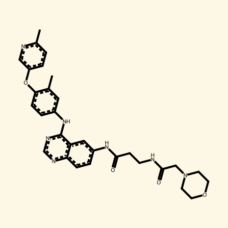 Cc1ccc(Oc2ccc(Nc3ncnc4ccc(NC(=O)CCNC(=O)CN5CCOCC5)cc34)cc2C)cn1